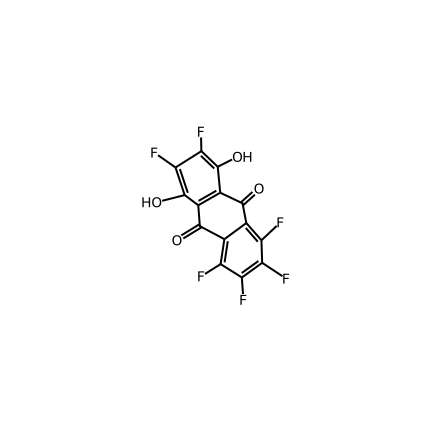 O=C1c2c(O)c(F)c(F)c(O)c2C(=O)c2c(F)c(F)c(F)c(F)c21